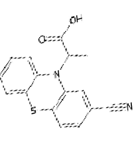 CC(C(=O)O)N1c2ccccc2Sc2ccc(C#N)cc21